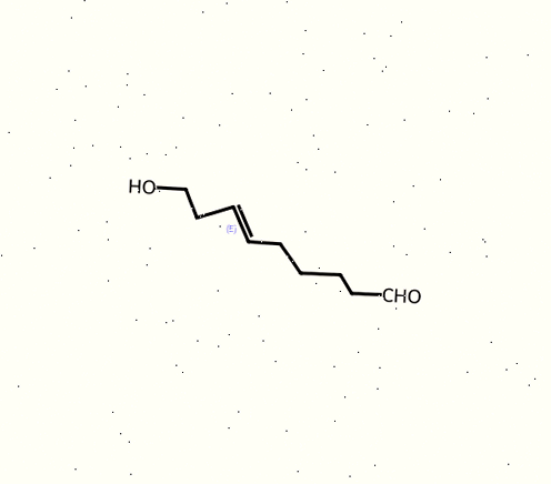 O=CCCCC/C=C/CCO